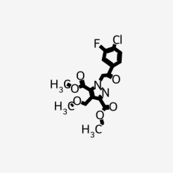 CCOC(=O)c1nn(CC(=O)c2ccc(Cl)c(F)c2)c(C(=O)OC)c1COC